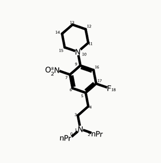 CCCN(CCC)CCc1cc([N+](=O)[O-])c(N2CCCCC2)cc1F